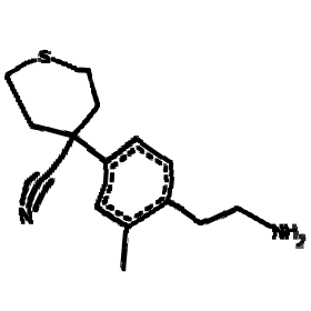 Cc1cc(C2(C#N)CCSCC2)ccc1CCN